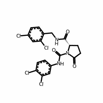 O=C(NCc1ccc(Cl)cc1Cl)[C@@H]1CCC(=O)N1C(=O)Nc1ccc(Cl)c(Cl)c1